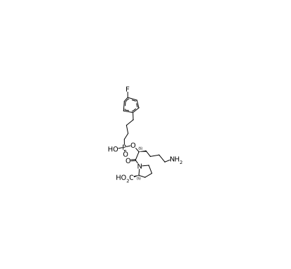 NCCCC[C@H](OP(=O)(O)CCCCc1ccc(F)cc1)C(=O)N1CCC[C@H]1C(=O)O